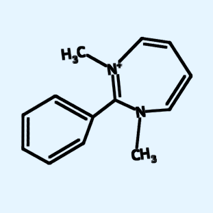 CN1C=CC=C[N+](C)=C1c1ccccc1